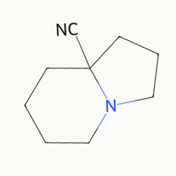 N#CC12CCCCN1CCC2